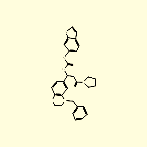 O=C(Nc1ccc2cc[nH]c2c1)NC(CC(=O)N1CCCC1)c1ccc2c(c1)N(Cc1ccccc1)CCS2